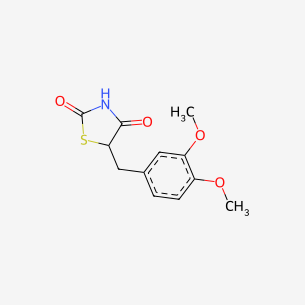 COc1ccc(CC2SC(=O)NC2=O)cc1OC